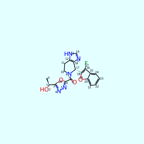 C[C@H](O)c1nnc(C(=O)N2CCc3[nH]cnc3[C@@H]2c2oc3ccccc3c2F)o1